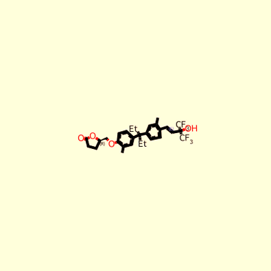 CCC(CC)(c1ccc(/C=C/C(O)(C(F)(F)F)C(F)(F)F)c(C)c1)c1ccc(OC[C@H]2CCC(=O)O2)c(C)c1